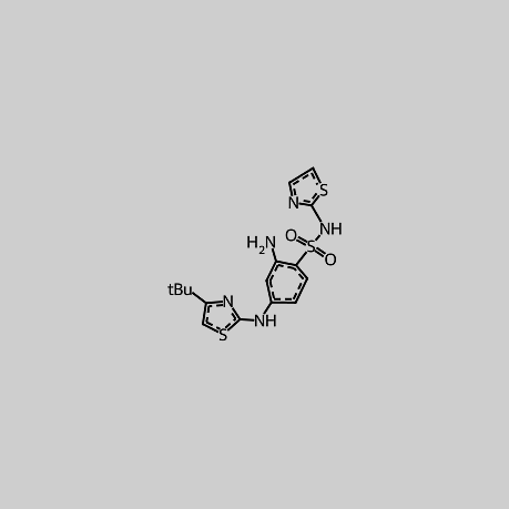 CC(C)(C)c1csc(Nc2ccc(S(=O)(=O)Nc3nccs3)c(N)c2)n1